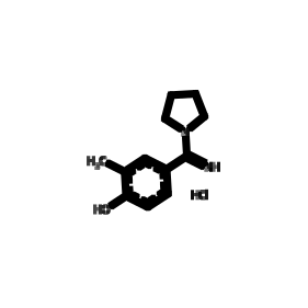 Cc1cc(C(=N)N2CCCC2)ccc1O.Cl